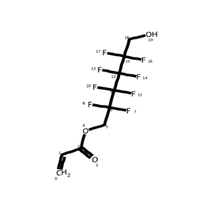 C=CC(=O)OCC(F)(F)C(F)(F)C(F)(F)C(F)(F)CO